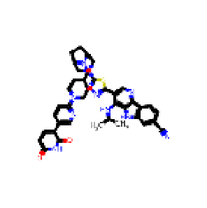 CC(C)Nc1c(-c2nnc(N3CC4CCC(C3)N4CC3CCN(c4ccc(C5CCC(=O)NC5=O)cn4)CC3)s2)cnc2c1[nH]c1cc(C#N)ccc12